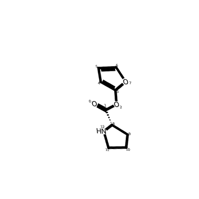 O=C(Oc1ccco1)[C@@H]1CCCN1